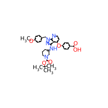 COc1ccc(Cn2nc(N[C@@H]3CCCN(C(=O)OC(C)(C)C)C3)c3c(Oc4ccc(C(=O)O)cc4)ccnc32)cc1